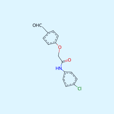 O=Cc1ccc(OCC(=O)Nc2ccc(Cl)cc2)cc1